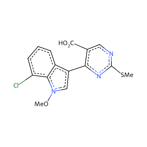 COn1cc(-c2nc(SC)ncc2C(=O)O)c2cccc(Cl)c21